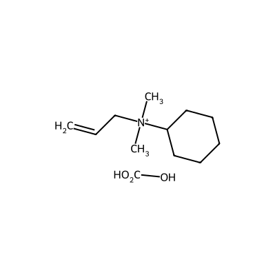 C=CC[N+](C)(C)C1CCCCC1.O=C(O)O